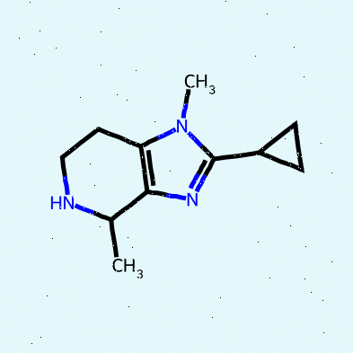 CC1NCCc2c1nc(C1CC1)n2C